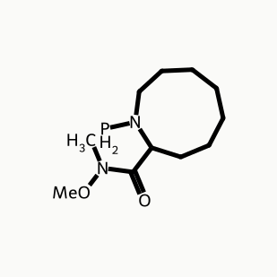 CON(C)C(=O)C1CCCCCCCN1P